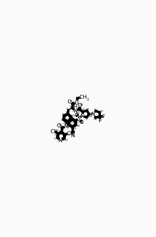 CCOC(=O)[C@H](Cc1ccc(NC(=O)c2c(Cl)cncc2Cl)cc1)NC(=O)C1C[C@@H](N2CCC(F)(F)C2)CN1S(=O)(=O)c1cccc(C#N)c1